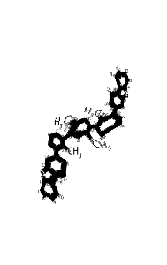 Cc1cc(-c2cccc(-c3ccc4c(c3)sc3ccccc34)c2C)c(C)cc1-c1cccc(-c2ccc3c(c2)sc2ccccc23)c1C